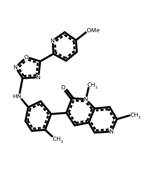 COc1ccc(-c2nc(Nc3ccc(C)c(-c4cc5cnc(C)cc5n(C)c4=O)c3)no2)nc1